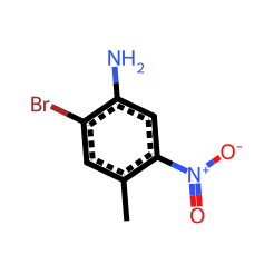 Cc1cc(Br)c(N)cc1[N+](=O)[O-]